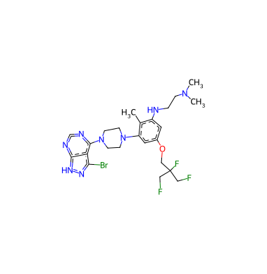 Cc1c(NCCN(C)C)cc(OCC(F)(CF)CF)cc1N1CCN(c2ncnc3[nH]nc(Br)c23)CC1